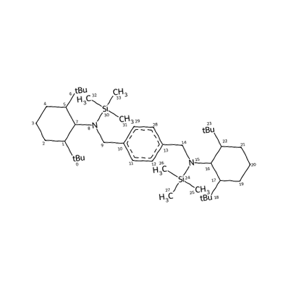 CC(C)(C)C1CCCC(C(C)(C)C)C1N(Cc1ccc(CN(C2C(C(C)(C)C)CCCC2C(C)(C)C)[Si](C)(C)C)cc1)[Si](C)(C)C